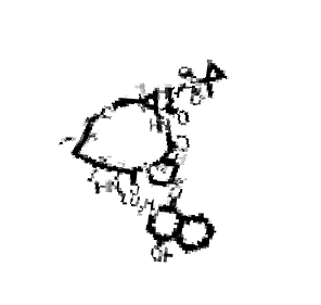 C[C@@H]1CCC=C[C@@H]2C[C@@]2(C(=O)NS(=O)(=O)C2(C)CC2)NC(=O)[C@@H]2C[C@@H](Oc3ncc(O)c4ccccc34)CN2C(=O)[C@@H](NC(=O)O)[C@H](C)C1